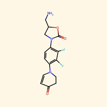 NCC1CN(c2ccc(N3C=CC(=O)CC3)c(F)c2F)C(=O)O1